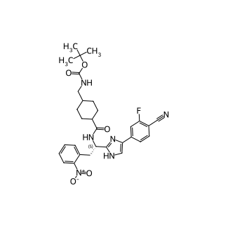 CC(C)(C)OC(=O)NCC1CCC(C(=O)N[C@@H](Cc2ccccc2[N+](=O)[O-])c2nc(-c3ccc(C#N)c(F)c3)c[nH]2)CC1